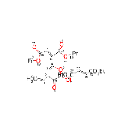 C=CC1C=COC(O)C1=O.CC(C)OC(=O)C=CC(=O)OC(C)C.CCOC(=O)C=CC(=O)OCC